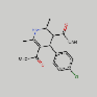 COC(=O)C1=C(C)NC(C)C(C(=O)OC)C1c1ccc(Cl)cc1